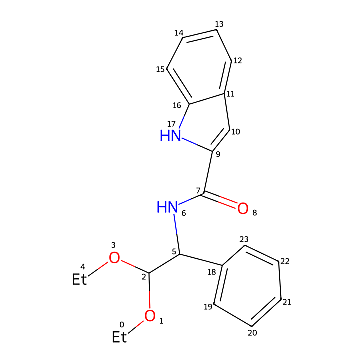 CCOC(OCC)C(NC(=O)c1cc2ccccc2[nH]1)c1ccccc1